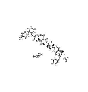 CN(C)CC[C@H](CSc1ccccc1)Nc1ccc(S(=O)(=O)NC(=O)c2cc3c(cn2)N2CCN(Cc4ccccc4-c4ccc(Cl)cc4)CC2CC3)cc1[N+](=O)[O-].Cl.Cl